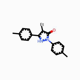 CCc1c(-c2ccc(C)cc2)[nH]n(-c2ccc(C)cc2)c1=O